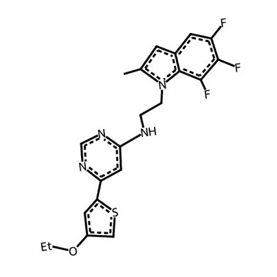 CCOc1csc(-c2cc(NCCn3c(C)cc4cc(F)c(F)c(F)c43)ncn2)c1